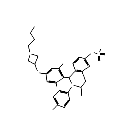 CC1Cc2cc(OS(=O)(=O)C(F)(F)F)ccc2C(c2c(F)cc(NC3CN(CCCF)C3)cc2F)N1c1ccc(F)cc1